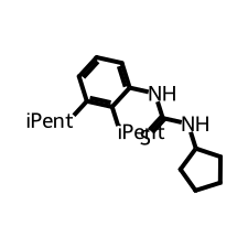 CCCC(C)c1cccc(NC(=S)NC2CCCC2)c1C(C)CCC